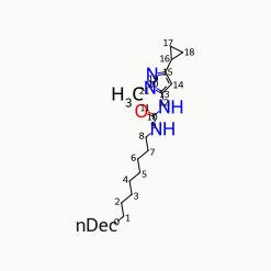 CCCCCCCCCCCCCCCCCCNC(=O)Nc1cc(C2CC2)nn1C